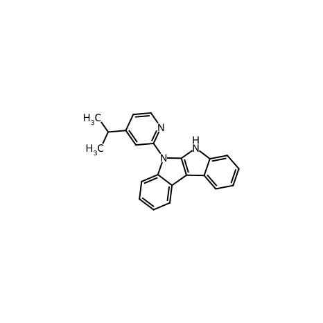 CC(C)c1ccnc(-n2c3ccccc3c3c4ccccc4[nH]c32)c1